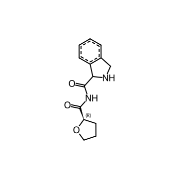 O=C(NC(=O)[C@H]1CCCO1)C1NCc2ccccc21